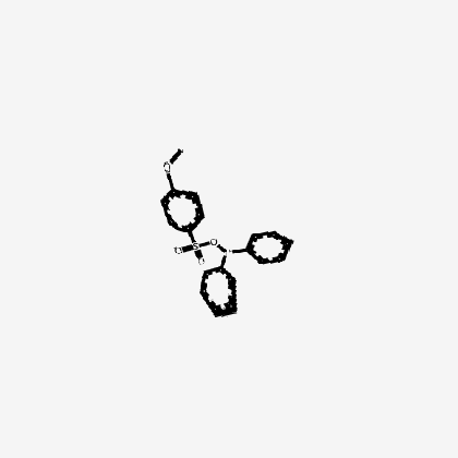 COc1ccc(S(=O)(=O)O[I+](c2ccccc2)c2ccccc2)cc1